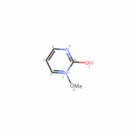 CO[n+]1cccnc1O